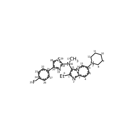 CCc1nc2ccc(N3CCCCC3)cn2c1N(C)c1nc(-c2ccc(F)cc2)cs1